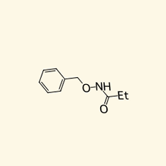 CCC(=O)NOCc1ccccc1